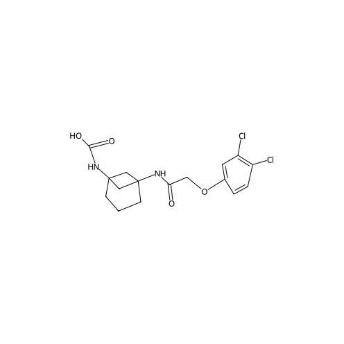 O=C(O)NC12CCCC(NC(=O)COc3ccc(Cl)c(Cl)c3)(C1)C2